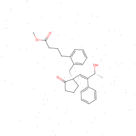 COC(=O)CCCc1ccccc1C[C@]1(/C=C(\c2ccccc2)[C@@H](C)O)CCCC1=O